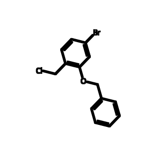 ClCc1ccc(Br)cc1OCc1ccccc1